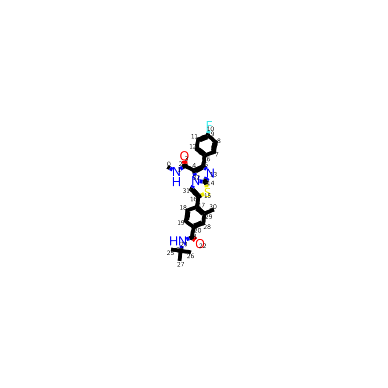 CNC(=O)c1c(-c2ccc(F)cc2)nc2sc(-c3ccc(C(=O)NC(C)(C)C)cc3C)cn12